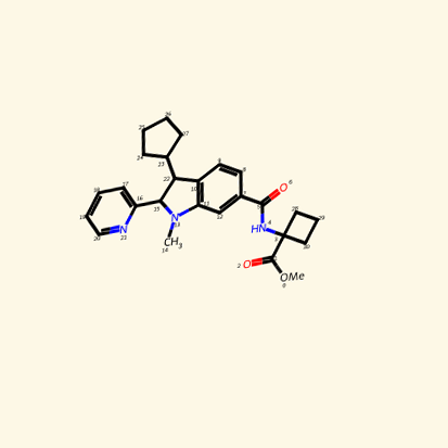 COC(=O)C1(NC(=O)c2ccc3c(c2)N(C)C(c2ccccn2)C3C2CCCC2)CCC1